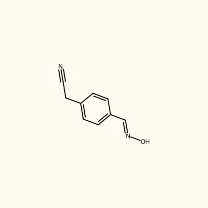 N#CCc1ccc(C=NO)cc1